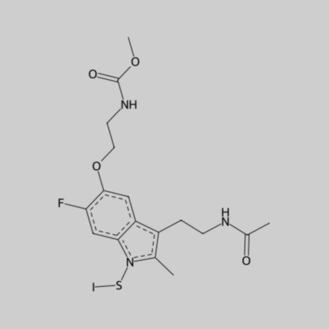 COC(=O)NCCOc1cc2c(CCNC(C)=O)c(C)n(SI)c2cc1F